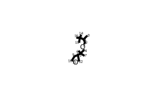 CC(COCC(C)(C)C1CCOC1)C(C)(C)C